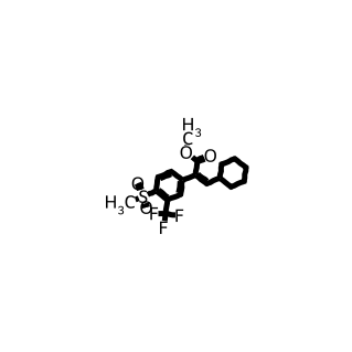 COC(=O)C(=CC1CCCCC1)c1ccc(S(C)(=O)=O)c(C(F)(F)F)c1